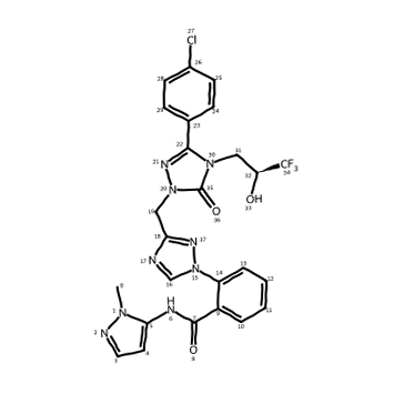 Cn1nccc1NC(=O)c1ccccc1-n1cnc(Cn2nc(-c3ccc(Cl)cc3)n(C[C@H](O)C(F)(F)F)c2=O)n1